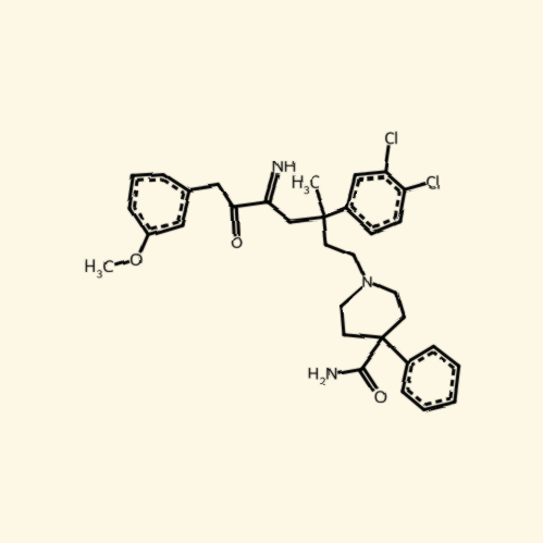 COc1cccc(CC(=O)C(=N)CC(C)(CCN2CCC(C(N)=O)(c3ccccc3)CC2)c2ccc(Cl)c(Cl)c2)c1